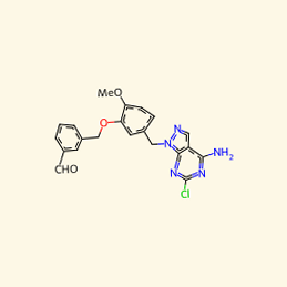 COc1ccc(Cn2ncc3c(N)nc(Cl)nc32)cc1OCc1cccc(C=O)c1